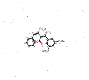 COC(=O)C(=C(/C)c1cc(OC)cc(OC)c1)/C(=C\c1ccccc1)C(=O)O